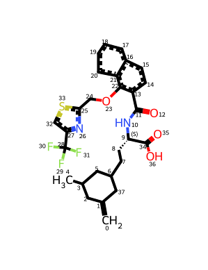 C=C1CC(C)CC(CC[C@H](NC(=O)c2ccc3ccccc3c2OCc2nc(C(F)(F)F)cs2)C(=O)O)C1